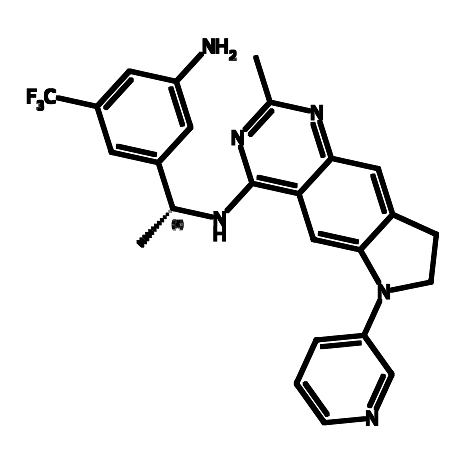 Cc1nc(N[C@H](C)c2cc(N)cc(C(F)(F)F)c2)c2cc3c(cc2n1)CCN3c1cccnc1